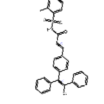 CC/C(=C(\c1ccccc1)c1ccc(/C=C/C(=O)NS(=O)(=O)c2ccccc2C)cc1)c1ccccc1